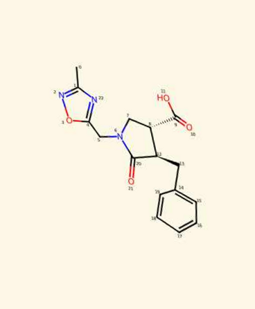 Cc1noc(CN2C[C@H](C(=O)O)[C@@H](Cc3ccccc3)C2=O)n1